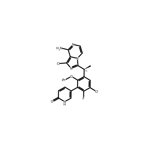 CC(C)Oc1c([C@H](C)c2nc(Cl)c3c(N)nccn23)cc(Cl)c(F)c1-c1ccc(=O)[nH]c1